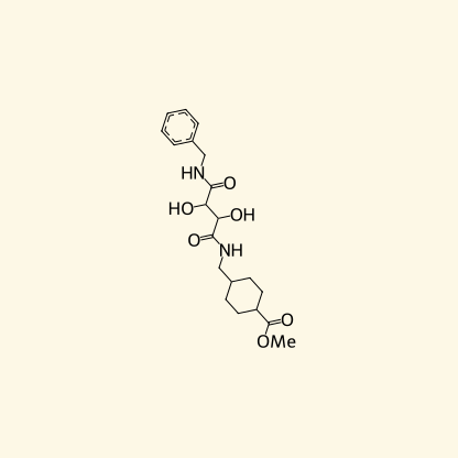 COC(=O)C1CCC(CNC(=O)C(O)C(O)C(=O)NCc2ccccc2)CC1